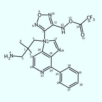 CC(C)(CN)C[N+]1(c2nonc2NOC(=O)C(F)(F)F)C=Nc2c1ccnc2-c1ccccc1